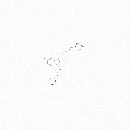 O=C(NCc1ccnc(F)c1)n1c2c(c3cc(Cl)ccc31)CN(C/C=C/c1ccc(Cl)cc1F)CC2